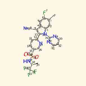 Cc1cc2c(cc1F)c(C#N)c(-c1ccc(S(=O)(=O)N[C@@H](C)C(F)(F)F)cn1)n2-c1ncccn1